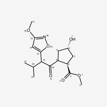 COC(=O)[C@@H]1C[C@@H](O)CC1C(=O)C(c1cc(OC)no1)C(C)C